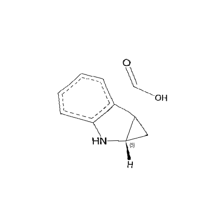 O=CO.c1ccc2c(c1)N[C@H]1CC21